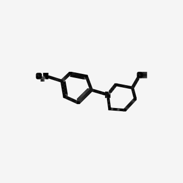 O=[N+]([O-])c1ccc(N2CCCC(O)C2)cc1